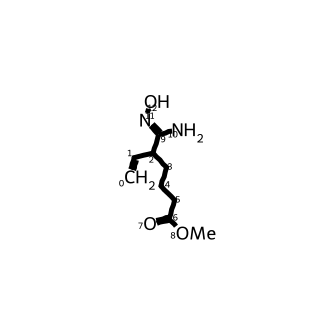 C=CC(CCCC(=O)OC)/C(N)=N/O